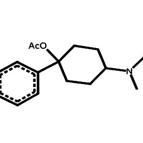 CC(=O)OC1(c2ccccc2)CCC(N(C)C)CC1